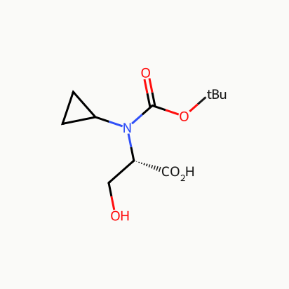 CC(C)(C)OC(=O)N(C1CC1)[C@@H](CO)C(=O)O